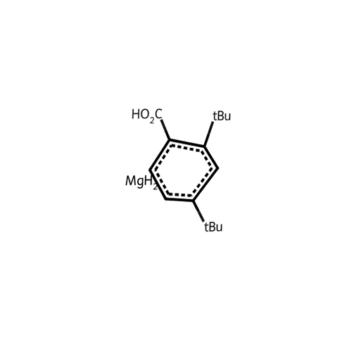 CC(C)(C)c1ccc(C(=O)O)c(C(C)(C)C)c1.[MgH2]